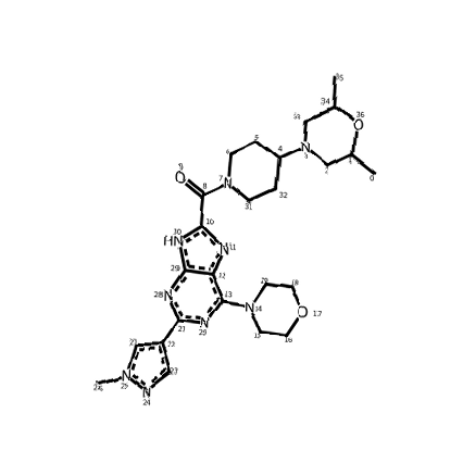 CC1CN(C2CCN(C(=O)c3nc4c(N5CCOCC5)nc(-c5cnn(C)c5)nc4[nH]3)CC2)CC(C)O1